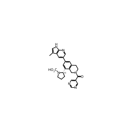 Cc1c[nH]c2ncc(-c3cc4c(c([C@@H]5CCCN5C(=O)O)c3)CN(C(=O)c3cncnc3)CC4)cc12